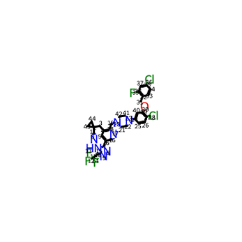 N#CC1(Cc2cc(-c3nnc(C(F)(F)F)[nH]3)cnc2CN2CCN(c3ccc(Cl)c(OCc4ccc(Cl)cc4F)c3)CC2)CC1